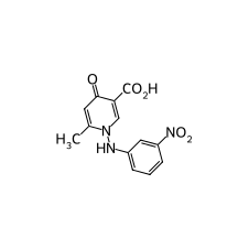 Cc1cc(=O)c(C(=O)O)cn1Nc1cccc([N+](=O)[O-])c1